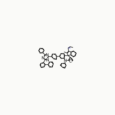 C/C=C\C1=C(C)C2(c3ccccc31)c1ccccc1N(c1ccccc1)c1cc(-c3ccc(-c4nc(-c5ccccc5)nc(-c5ccccc5-c5ccccc5)n4)cc3)ccc12